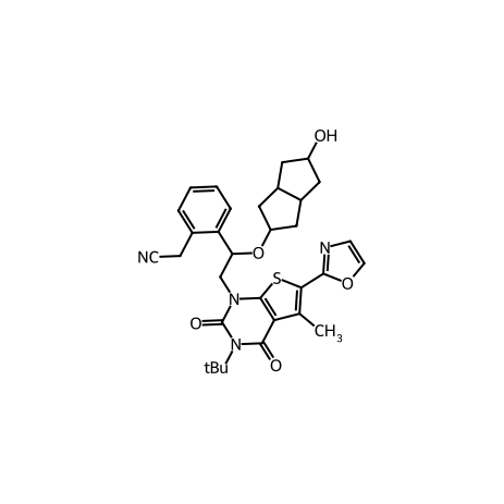 Cc1c(-c2ncco2)sc2c1c(=O)n(C(C)(C)C)c(=O)n2CC(OC1CC2CC(O)CC2C1)c1ccccc1CC#N